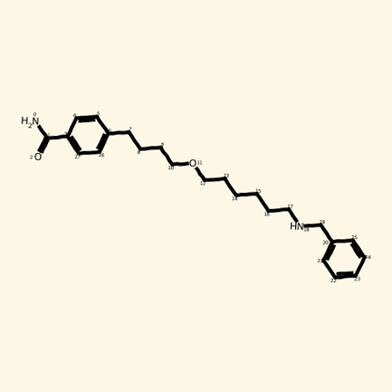 NC(=O)c1ccc(CCCCOCCCCCCNCc2ccccc2)cc1